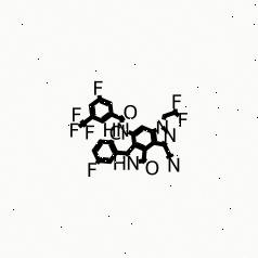 N#Cc1nn(CC(F)F)c2cc(NC(=O)c3cc(F)cc(C(F)(F)F)c3)c3c(c12)C(=O)NC3c1cc(F)ccc1Cl